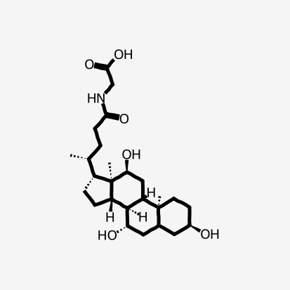 C[C@H](CCC(=O)NCC(=O)O)[C@H]1CC[C@H]2[C@@H]3[C@@H](O)CC4C[C@H](O)CC[C@]4(C)[C@H]3C[C@H](O)[C@]12C